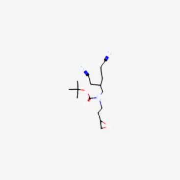 CC(C)(C)OC(=O)N(CCC1CO1)CC(CC#N)CCC#N